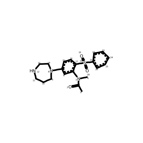 CC(=O)N(C)c1cc(N2CCCNCC2)ccc1S(=O)(=O)c1ccccc1